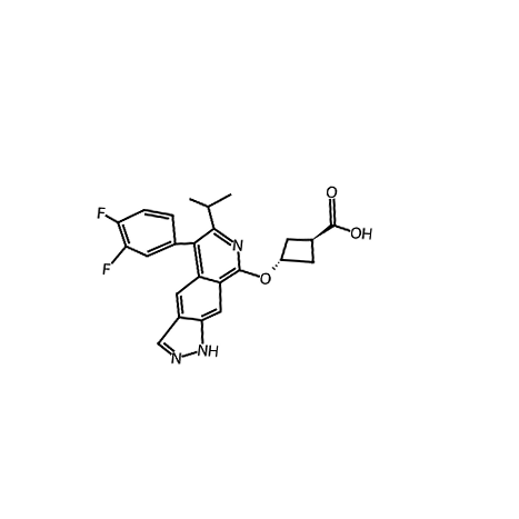 CC(C)c1nc(O[C@H]2C[C@H](C(=O)O)C2)c2cc3[nH]ncc3cc2c1-c1ccc(F)c(F)c1